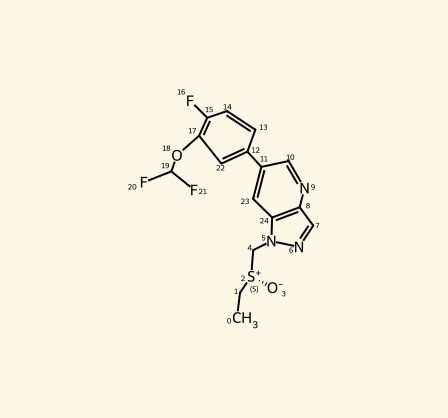 CC[S@@+]([O-])Cn1ncc2ncc(-c3ccc(F)c(OC(F)F)c3)cc21